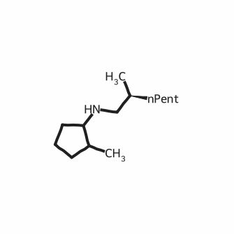 CCCCC[C@H](C)CNC1CCCC1C